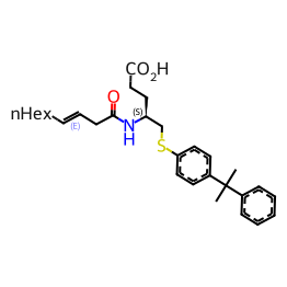 CCCCCC/C=C/CC(=O)N[C@@H](CCC(=O)O)CSc1ccc(C(C)(C)c2ccccc2)cc1